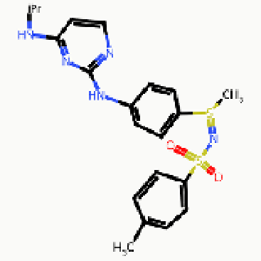 Cc1ccc(S(=O)(=O)N=S(C)c2ccc(Nc3nccc(NC(C)C)n3)cc2)cc1